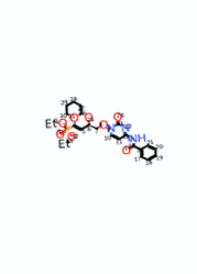 CCOP(=O)(C=C[C@H](COn1ccc(NC(=O)c2ccccc2)nc1=O)O[C@H]1CCCCO1)OCC